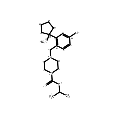 O=C(OC(C(F)(F)F)C(F)(F)F)N1CCN(Cc2ccc(Cl)cc2C2(C(=O)O)CCCC2)CC1